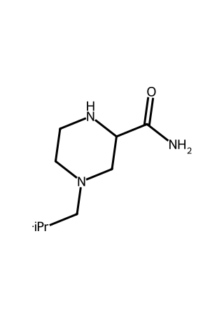 C[C](C)CN1CCNC(C(N)=O)C1